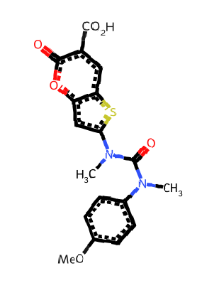 COc1ccc(N(C)C(=O)N(C)c2cc3oc(=O)c(C(=O)O)cc3s2)cc1